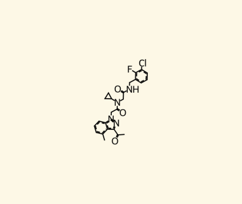 CC(=O)c1nn(CC(=O)N(CC(=O)NCc2cccc(Cl)c2F)C2CC2)c2cccc(C)c12